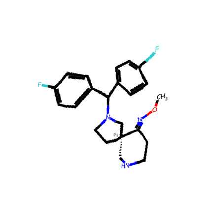 CON=C1CCNC[C@@]12CCN(C(c1ccc(F)cc1)c1ccc(F)cc1)C2